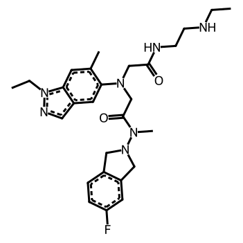 CCNCCNC(=O)CN(CC(=O)N(C)N1Cc2ccc(F)cc2C1)c1cc2cnn(CC)c2cc1C